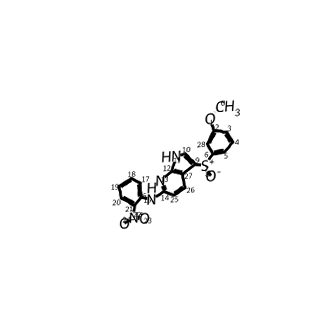 COc1cccc([S+]([O-])c2c[nH]c3nc(Nc4ccccc4[N+](=O)[O-])ccc23)c1